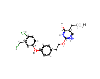 O=C(O)Cc1c[nH]c(OCCc2ccc(Oc3ccc(Cl)c(CF)c3)cc2)nc1=O